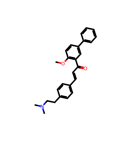 COc1ccc(-c2ccccc2)cc1C(=O)/C=C/c1ccc(CCN(C)C)cc1